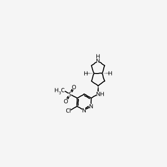 CS(=O)(=O)c1cc(N[C@H]2C[C@H]3CNC[C@H]3C2)nnc1Cl